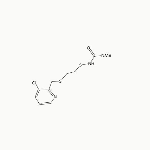 CNC(=O)NSCCSCc1ncccc1Cl